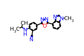 CC(C)Nc1ccc(-c2nnc(-c3cccc4c3ncn4C)o2)cc1C#N